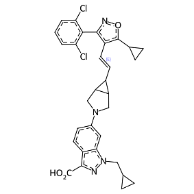 O=C(O)c1nn(CC2CC2)c2cc(N3CC4C(/C=C/c5c(-c6c(Cl)cccc6Cl)noc5C5CC5)C4C3)ccc12